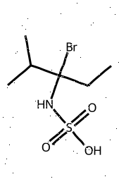 CCC(Br)(NS(=O)(=O)O)C(C)C